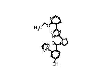 CCOc1ncccc1-c1nc(C2CCCN2C(=O)c2ccc(C)cc2-n2nccn2)no1